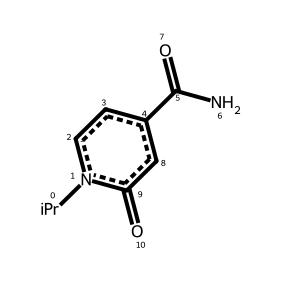 CC(C)n1ccc(C(N)=O)cc1=O